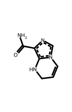 NC(=O)c1ncn2c1NCC=C2